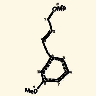 [CH2]OC/C=C/c1cccc(OC)c1